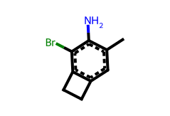 Cc1cc2c(c(Br)c1N)CC2